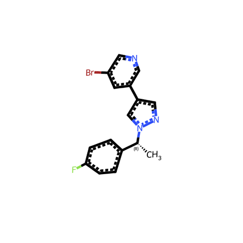 C[C@H](c1ccc(F)cc1)n1cc(-c2cncc(Br)c2)cn1